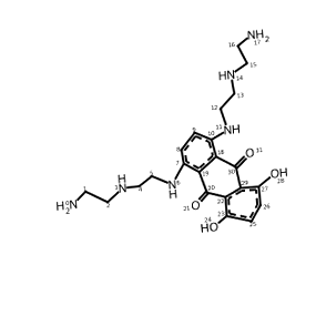 NCCNCCNc1ccc(NCCNCCN)c2c1C(=O)c1c(O)ccc(O)c1C2=O